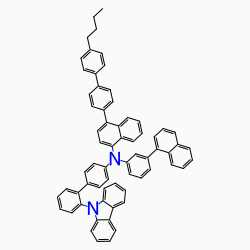 CCCCc1ccc(-c2ccc(-c3ccc(N(c4ccc(-c5ccccc5-n5c6ccccc6c6ccccc65)cc4)c4cccc(-c5cccc6ccccc56)c4)c4ccccc34)cc2)cc1